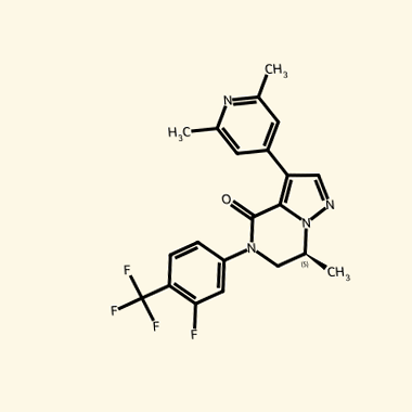 Cc1cc(-c2cnn3c2C(=O)N(c2ccc(C(F)(F)F)c(F)c2)C[C@@H]3C)cc(C)n1